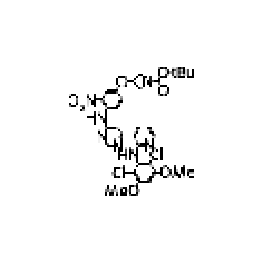 COc1cc(OC)c(Cl)c(Nc2ncccc2-c2cc(Nc3ccc(OC4CN(C(=O)OC(C)(C)C)C4)cc3[N+](=O)[O-])ncn2)c1Cl